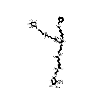 C[C@@H]1O[C@@H](OCCNC(=O)CCCCC(=O)NCCCC[C@H](NC(=O)CCCCC(=O)NCCO[C@@H]2O[C@@H](C)[C@@H](O)[C@@H](O)[C@@H]2O)C(=O)NCCCCCC(=O)OCc2ccccc2)[C@@H](O)[C@H](O)[C@@H]1O